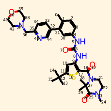 Cc1ccc(NC(=O)Nc2cc(C(C)(C)C)sc2C(=O)N2CCN(C)C(=O)C2(C)C)cc1-c1ccc(CN2CCOCC2)nc1